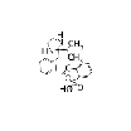 CC(C)C1(Cc2ccccc2)NCCN1.Cc1ccccc1S(=O)(=O)O